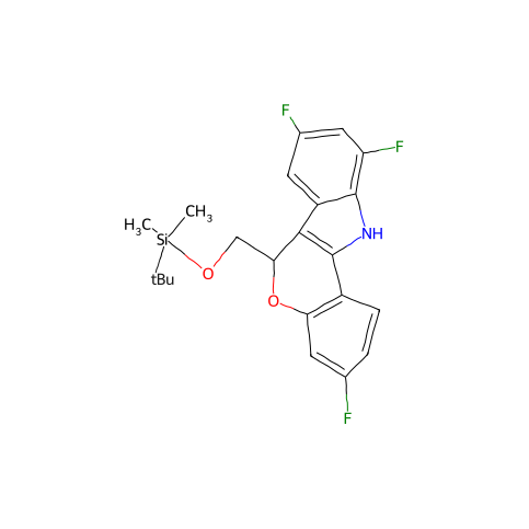 CC(C)(C)[Si](C)(C)OCC1Oc2cc(F)ccc2-c2[nH]c3c(F)cc(F)cc3c21